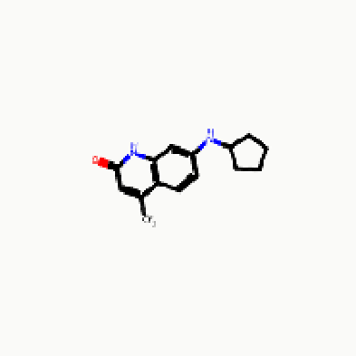 O=c1cc(C(F)(F)F)c2ccc(NC3CCCC3)cc2[nH]1